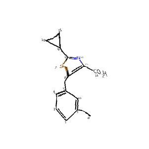 Cc1cccc(-c2sc(C3CC3)nc2C(=O)O)c1